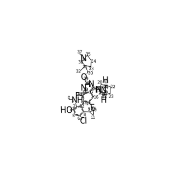 CNc1c(O)cc(Cl)c(C2CC2)c1-c1c(F)cc2c(N3C[C@H]4CC[C@@H](C3)N4)nc(OCC3(C)CCCN(C)C3)nc2c1F